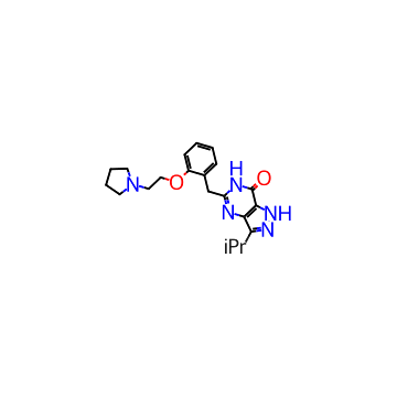 CC(C)c1n[nH]c2c(=O)[nH]c(Cc3ccccc3OCCN3CCCC3)nc12